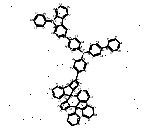 C1=CC(C2(c3ccccc3)c3ccccc3C3(c4ccccc4-c4cc(-c5ccc(N(c6ccc(-c7ccccc7)cc6)c6ccc(-c7ccc8c(c7)c7ccccc7n8-c7ccccc7)cc6)cc5)ccc43)c3ccccc32)=CCC1